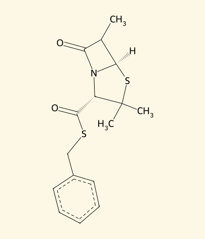 CC1C(=O)N2[C@@H]1SC(C)(C)[C@@H]2C(=O)SCc1ccccc1